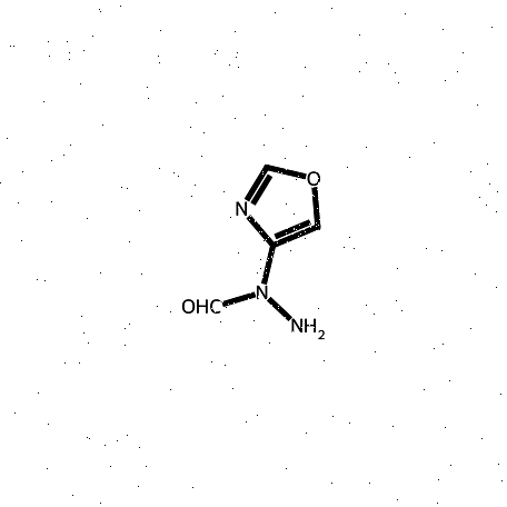 NN(C=O)c1cocn1